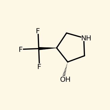 O[C@H]1CNC[C@@H]1C(F)(F)F